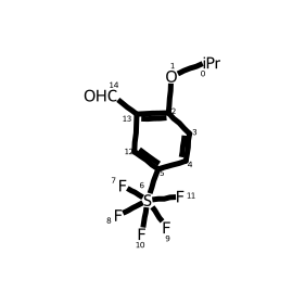 CC(C)Oc1ccc(S(F)(F)(F)(F)F)cc1C=O